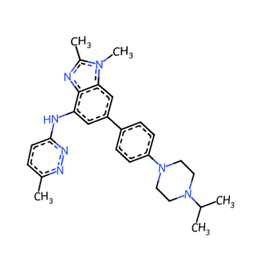 Cc1ccc(Nc2cc(-c3ccc(N4CCN(C(C)C)CC4)cc3)cc3c2nc(C)n3C)nn1